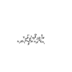 COCc1c(F)c(F)c(COC(=O)[C@@H]2[C@H](C(F)F)C2(C)C)c(F)c1F